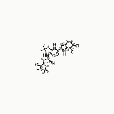 CC(C)(C)CC(NC(=O)c1cc2ccc(Cl)c(Cl)c2[nH]1)C(=O)NC(C#N)CC1CC(C)(C)NC1=O